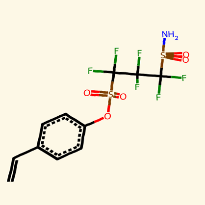 C=Cc1ccc(OS(=O)(=O)C(F)(F)C(F)(F)C(F)(F)S(N)(=O)=O)cc1